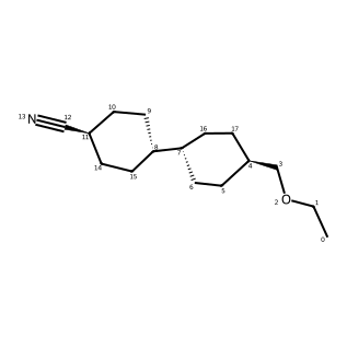 CCOC[C@H]1CC[C@H]([C@H]2CC[C@H](C#N)CC2)CC1